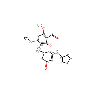 COc1cc(OC)c(C=O)c(O[C@@H]2C(OC3CCCC3)=CC(=O)C[C@H]2C)c1Cl